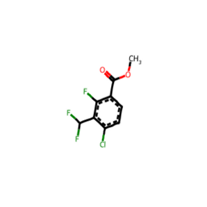 COC(=O)c1ccc(Cl)c(C(F)F)c1F